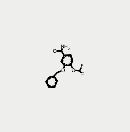 NC(=O)c1ccc(OC(F)F)c(OCc2ccccc2)c1